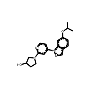 CC(C)Oc1ccc2cnn(-c3ccnc(N4CCC(O)C4)c3)c2c1